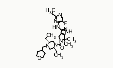 CCc1ncc(F)c(Nc2n[nH]c3c2CN(C(=O)N2C[C@@H](CC)N(CC4CCOCC4)C[C@@H]2CC)C3(C)C)n1